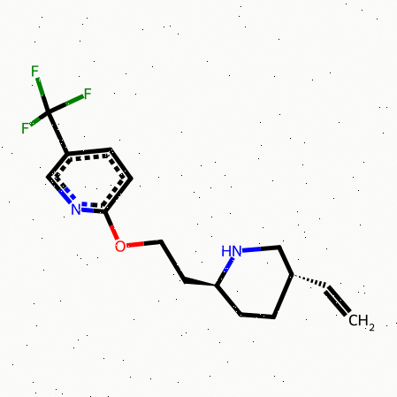 C=C[C@@H]1CC[C@@H](CCOc2ccc(C(F)(F)F)cn2)NC1